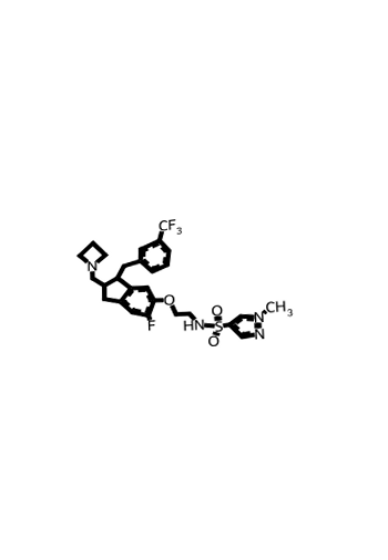 Cn1cc(S(=O)(=O)NCCOc2cc3c(cc2F)CC(CN2CCC2)C3Cc2cccc(C(F)(F)F)c2)cn1